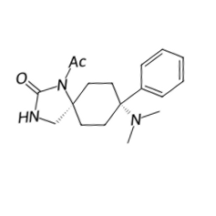 CC(=O)N1C(=O)NC[C@]12CC[C@@](c1ccccc1)(N(C)C)CC2